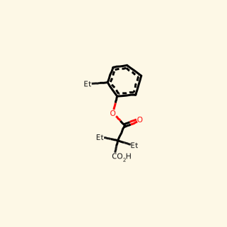 CCc1ccccc1OC(=O)C(CC)(CC)C(=O)O